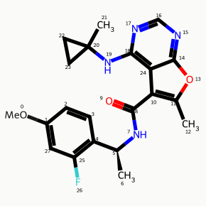 COc1ccc([C@H](C)NC(=O)c2c(C)oc3ncnc(NC4(C)CC4)c23)c(F)c1